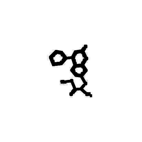 CC(Oc1ccc2c(-c3ccccc3)cc(=O)oc2c1)C(=O)OC(C)(C)C